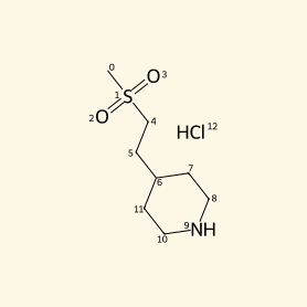 CS(=O)(=O)CCC1CCNCC1.Cl